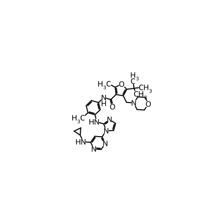 Cc1ccc(NC(=O)c2c(C)oc(C(C)(C)C)c2CN2CCOCC2)cc1Nc1nccn1-c1cc(NC2CC2)ncn1